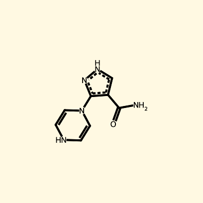 NC(=O)c1c[nH]nc1N1C=CNC=C1